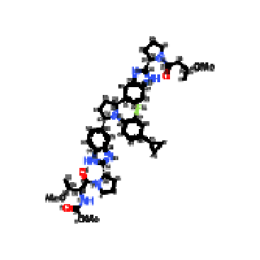 COC(=O)N[C@H](C(=O)N1CCC[C@H]1c1nc2cc([C@@H]3CC[C@@H](c4ccc5[nH]c([C@@H]6CCCN6C(=O)[CH][C@@H](C)OC)nc5c4)N3c3ccc(C4CC4)cc3F)ccc2[nH]1)[C@@H](C)OC